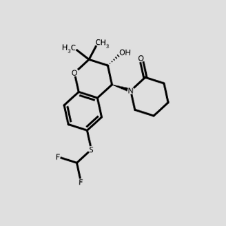 CC1(C)Oc2ccc(SC(F)F)cc2[C@H](N2CCCCC2=O)[C@H]1O